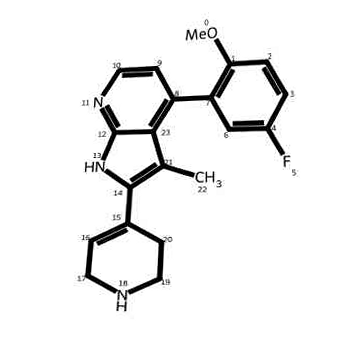 COc1ccc(F)cc1-c1ccnc2[nH]c(C3=CCNCC3)c(C)c12